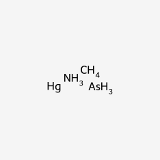 C.N.[AsH3].[Hg]